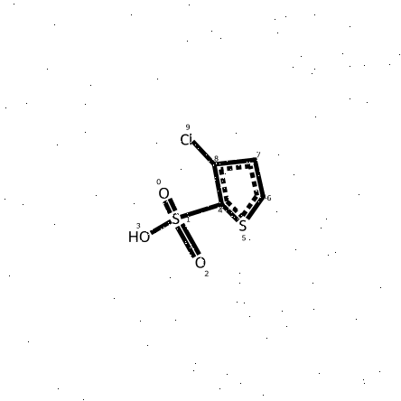 O=S(=O)(O)c1sccc1Cl